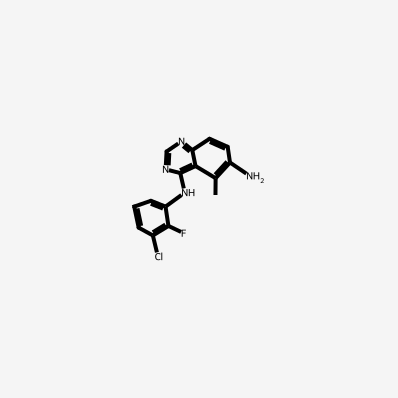 Cc1c(N)ccc2ncnc(Nc3cccc(Cl)c3F)c12